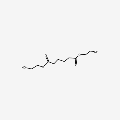 O=C(CCCCC(=O)OCCO)OCCO